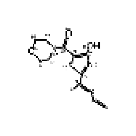 C=C/C=C(\C)c1nc(O)c(C(=O)N2CCOCC2)s1